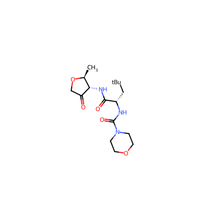 C[C@@H]1OCC(=O)[C@H]1NC(=O)[C@H](CC(C)(C)C)NC(=O)N1CCOCC1